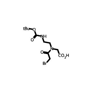 CC(C)(C)OC(=O)NCCN(CC(=O)O)C(=O)CBr